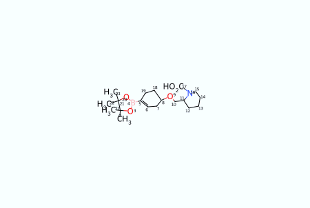 CC1(C)OB(C2=CCC(OCC3CCCCN3C(=O)O)CC2)OC1(C)C